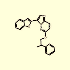 CC(COc1ccc2ncc(-c3cc4ccccc4o3)n2n1)c1ccccc1